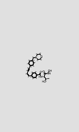 C[C@@H](O)[C@H](NC(=O)c1ccc(/C=C\C#Cc2ccc(CN3CCOCC3)cc2)cc1)C(=O)NO